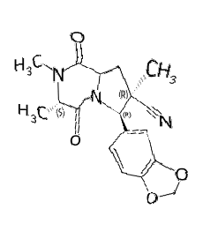 C[C@H]1C(=O)N2C(C[C@@](C)(C#N)[C@H]2c2ccc3c(c2)OCO3)C(=O)N1C